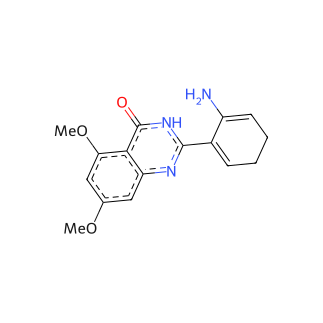 COc1cc(OC)c2c(=O)[nH]c(C3=CCCC=C3N)nc2c1